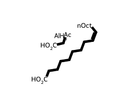 CC(=O)CC(=O)O.CCCCCCCC/C=C\CCCCCCCC(=O)O.[AlH3]